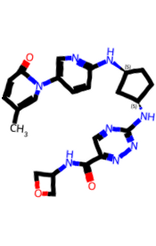 Cc1ccc(=O)n(-c2ccc(N[C@H]3CC[C@H](Nc4ncc(C(=O)NC5COC5)nn4)C3)nc2)c1